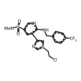 CNS(=O)(=O)c1cnc(NCc2ccc(C(F)(F)F)cc2)c(-c2cn(CCCl)cn2)c1